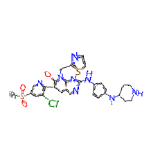 CC(C)S(=O)(=O)c1cnc(-c2cc3cnc(Nc4ccc(N(C)C5CCNCC5)cc4)nc3n(Cc3nccs3)c2=O)c(Cl)c1